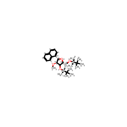 CO[C@@H]1C(O[Si](C)(C)C(C)(C)C)[C@@H](CO[Si](C)(C)C(C)(C)C)O[C@H]1c1cccc2ccccc12